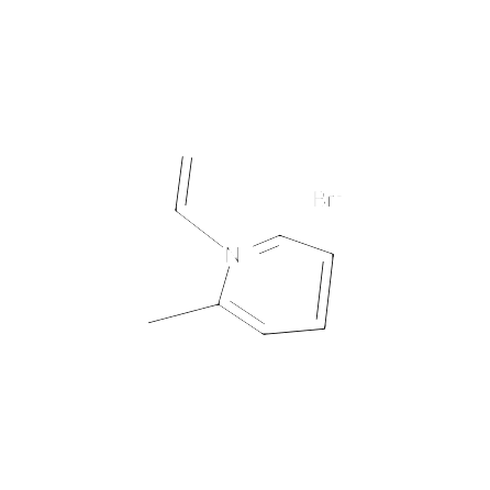 C=C[n+]1ccccc1C.[Br-]